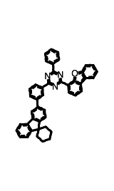 c1ccc(-c2nc(-c3cccc(-c4ccc5c(c4)-c4ccccc4C54CCCCC4)c3)nc(-c3cccc4c3oc3ccccc34)n2)cc1